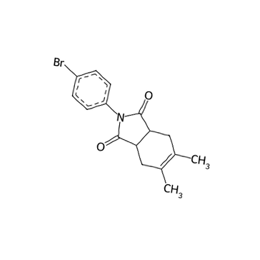 CC1=C(C)CC2C(=O)N(c3ccc(Br)cc3)C(=O)C2C1